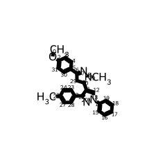 COc1ccc(C2=NN(C)C(c3cn(-c4ccccc4)nc3-c3ccc(C)cc3)C2)cc1